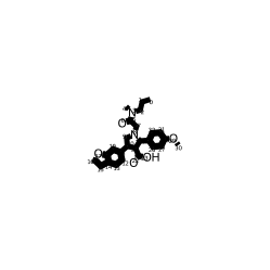 CCCN(C)C(=O)CN1CC(c2ccc3ccoc3c2)C(C(=O)O)C1c1ccc(OC)cc1